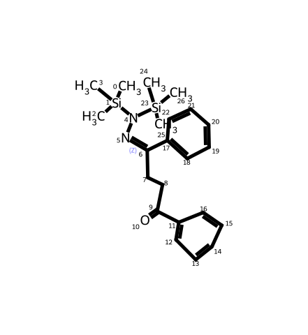 C[Si](C)(C)N(/N=C(/CCC(=O)c1ccccc1)c1ccccc1)[Si](C)(C)C